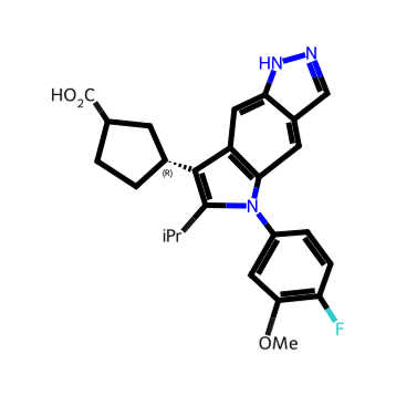 COc1cc(-n2c(C(C)C)c([C@@H]3CCC(C(=O)O)C3)c3cc4[nH]ncc4cc32)ccc1F